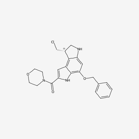 O=C(c1cc2c3c(cc(OCc4ccccc4)c2[nH]1)NC[C@H]3CCl)N1CCOCC1